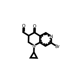 O=CC1CN(C2CC2)c2cc(Br)ncc2C1=O